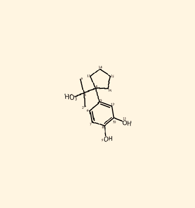 CC(C)(O)C1(c2ccc(O)c(O)c2)CCCC1